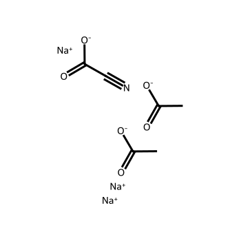 CC(=O)[O-].CC(=O)[O-].N#CC(=O)[O-].[Na+].[Na+].[Na+]